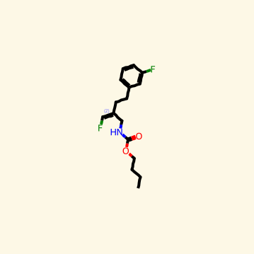 CCCCOC(=O)NC/C(=C\F)CCc1cccc(F)c1